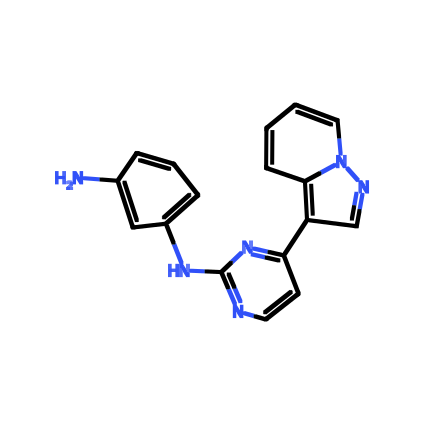 Nc1cccc(Nc2nccc(-c3cnn4ccccc34)n2)c1